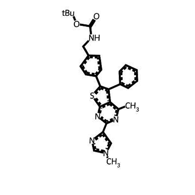 Cc1nc(-c2cn(C)cn2)nc2sc(-c3ccc(CNC(=O)OC(C)(C)C)cc3)c(-c3ccccc3)c12